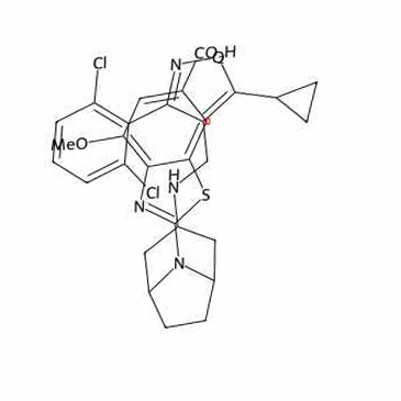 COc1cc(C(=O)O)cc2sc(N3C4CCC3CC(NCc3c(-c5c(Cl)cccc5Cl)noc3C3CC3)C4)nc12